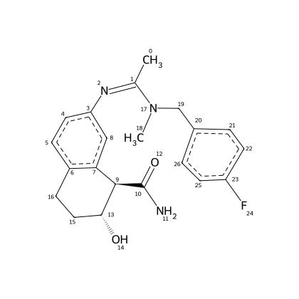 CC(=Nc1ccc2c(c1)[C@@H](C(N)=O)[C@H](O)CC2)N(C)Cc1ccc(F)cc1